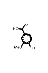 COc1cc(C(O)C(C)=O)ccc1O